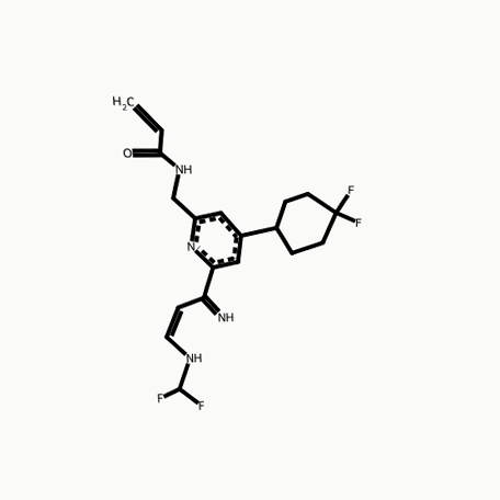 C=CC(=O)NCc1cc(C2CCC(F)(F)CC2)cc(C(=N)/C=C\NC(F)F)n1